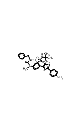 CN(Cc1ccccc1)C(=O)N(C)c1ccc(-c2cnc(-c3ccc(N)cc3)s2)c(S(=O)(=O)NC(C)(C)C)c1